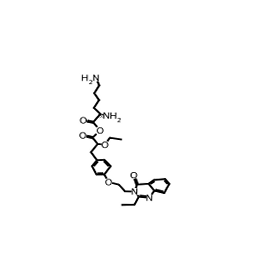 CCOC(Cc1ccc(OCCn2c(CC)nc3ccccc3c2=O)cc1)C(=O)OC(=O)[C@@H](N)CCCCN